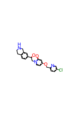 O=C(Cn1ccc(OCc2ccc(Cl)cn2)cc1=O)c1ccc2c(c1)CNCC2